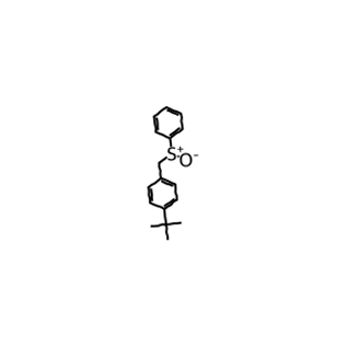 CC(C)(C)c1ccc(C[S@@+]([O-])c2ccccc2)cc1